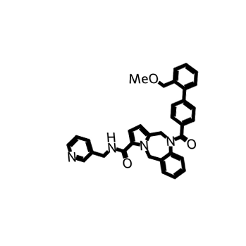 COCc1ccccc1-c1ccc(C(=O)N2Cc3ccc(C(=O)NCc4cccnc4)n3Cc3ccccc32)cc1